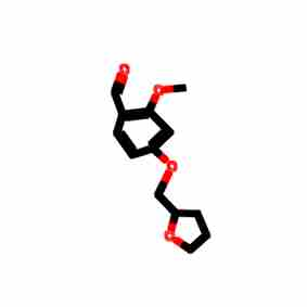 COc1cc(OCC2CCCO2)ccc1C=O